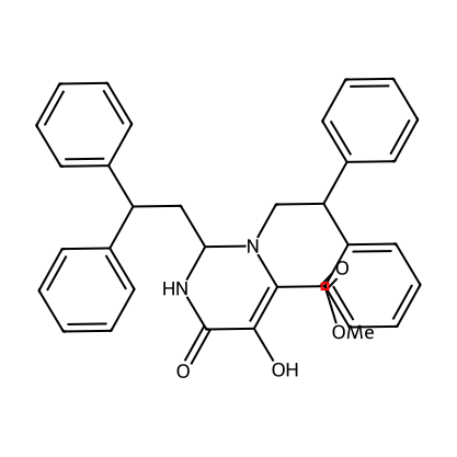 COC(=O)C1=C(O)C(=O)NC(CC(c2ccccc2)c2ccccc2)N1CC(c1ccccc1)c1ccccc1